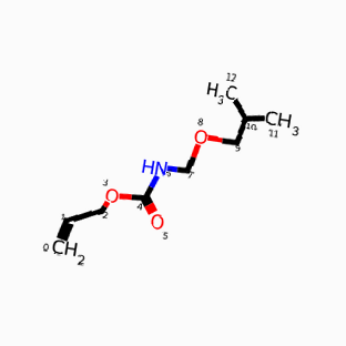 C=CCOC(=O)NCOCC(C)C